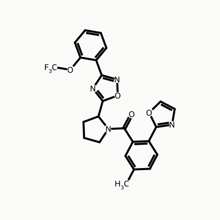 Cc1ccc(-c2ncco2)c(C(=O)N2CCCC2c2nc(-c3ccccc3OC(F)(F)F)no2)c1